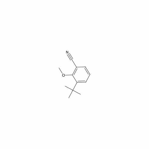 COc1c(C#N)cccc1C(C)(C)C